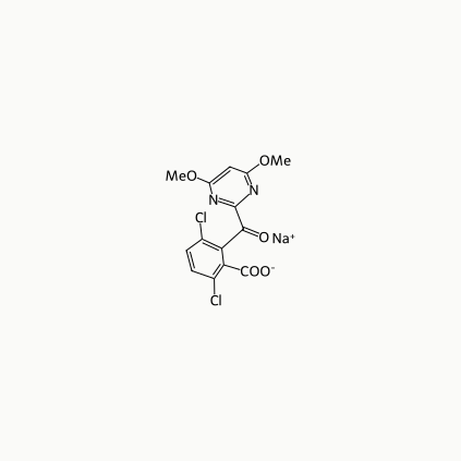 COc1cc(OC)nc(C(=O)c2c(Cl)ccc(Cl)c2C(=O)[O-])n1.[Na+]